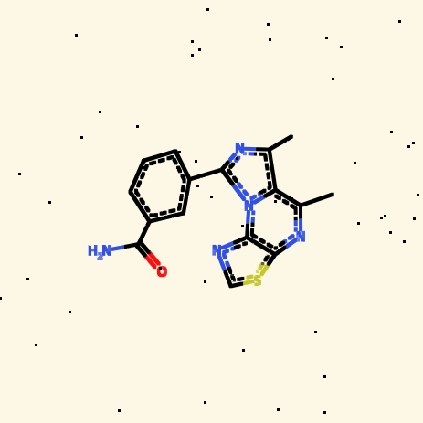 Cc1nc(-c2cccc(C(N)=O)c2)n2c1c(C)nc1scnc12